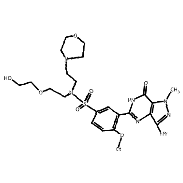 CCCc1nn(C)c2c(=O)[nH]c(-c3cc(S(=O)(=O)N(CCOCCO)CCN4CCOCC4)ccc3OCC)nc12